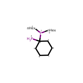 CCCCCCP(CCCCCC)C1(P)CCCCC1